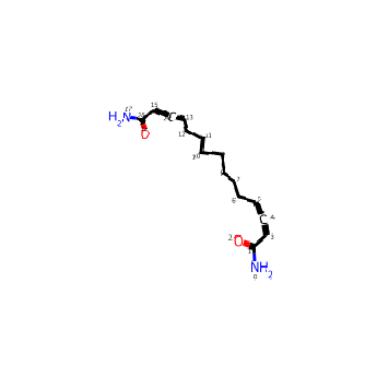 NC(=O)C=C=CCCCCCCCC=C=CC(N)=O